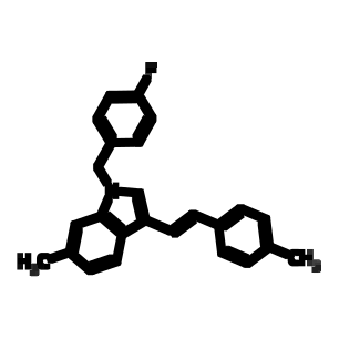 Cc1ccc(/C=C/c2cn(Cc3ccc(F)cc3)c3cc(C)ccc23)cc1